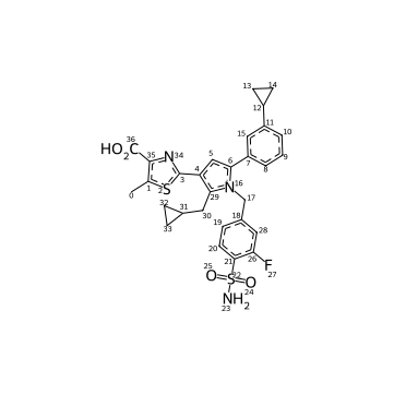 Cc1sc(-c2cc(-c3cccc(C4CC4)c3)n(Cc3ccc(S(N)(=O)=O)c(F)c3)c2CC2CC2)nc1C(=O)O